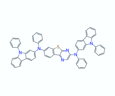 c1ccc(N(c2ccc3c(c2)sc2nc(N(c4ccccc4)c4ccc5c6ccccc6n(-c6ccccc6)c5c4)cnc23)c2ccc3c4ccccc4n(-c4ccccc4)c3c2)cc1